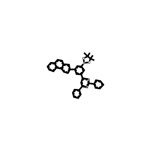 CC1(C)OB(c2cc(-c3ccc4c(ccc5ccccc54)c3)cc(-c3cc(-c4ccccc4)nc(-c4ccccc4)n3)c2)OC1(C)C